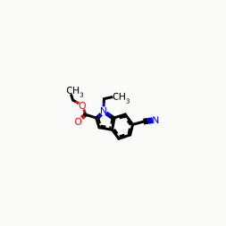 CCOC(=O)c1cc2ccc(C#N)cc2n1CC